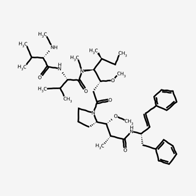 CC[C@H](C)[C@@H]([C@@H](CC(=O)N1CCC[C@H]1[C@H](OC)[C@@H](C)C(=O)N[C@H](C=Cc1ccccc1)Cc1ccccc1)OC)N(C)C(=O)[C@@H](NC(=O)[C@@H](NC)C(C)C)C(C)C